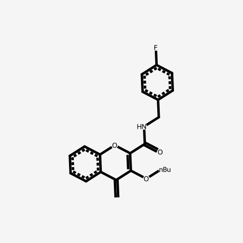 C=C1C(OCCCC)=C(C(=O)NCc2ccc(F)cc2)Oc2ccccc21